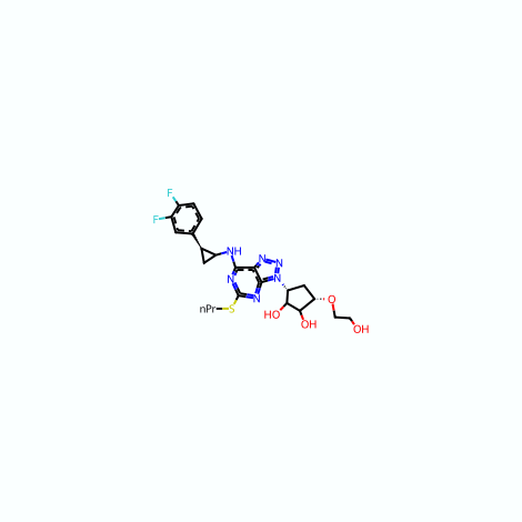 CCCSc1nc(NC2C[C@H]2c2ccc(F)c(F)c2)c2nnn([C@@H]3C[C@H](OCCO)C(O)C3O)c2n1